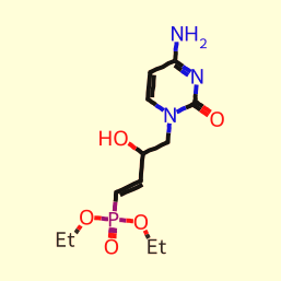 CCOP(=O)(C=CC(O)Cn1ccc(N)nc1=O)OCC